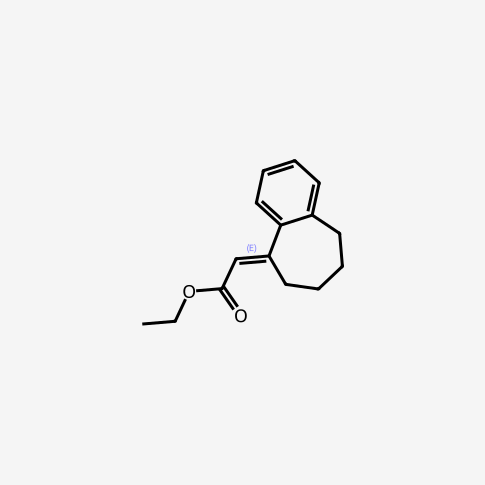 CCOC(=O)/C=C1\CCCCc2ccccc21